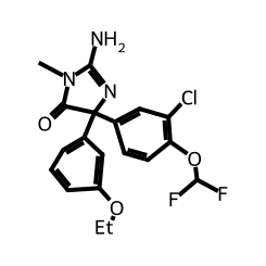 CCOc1cccc(C2(c3ccc(OC(F)F)c(Cl)c3)N=C(N)N(C)C2=O)c1